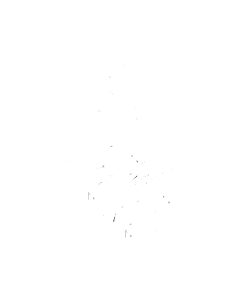 Cc1nc2c(s1)[C@]1(CNC2)CNC[C@H]1C(=O)N1CC[C@@H](c2ccccc2C)C[C@H]1C1CCCCC1